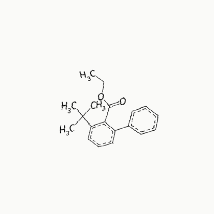 CCOC(=O)c1c(-c2ccccc2)cccc1C(C)(C)C